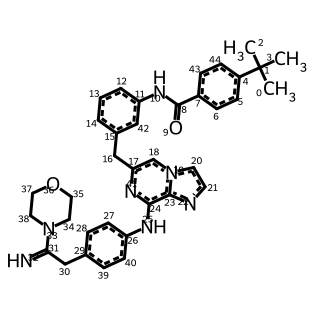 CC(C)(C)c1ccc(C(=O)Nc2cccc(Cc3cn4ccnc4c(Nc4ccc(CC(=N)N5CCOCC5)cc4)n3)c2)cc1